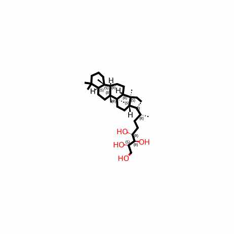 C[C@H](CC[C@@H](O)[C@@H](O)[C@@H](O)CO)[C@H]1CC[C@]2(C)[C@H]3CC[C@@H]4[C@@]5(C)CCCC(C)(C)[C@@H]5CC[C@@]4(C)[C@]3(C)CC[C@@H]12